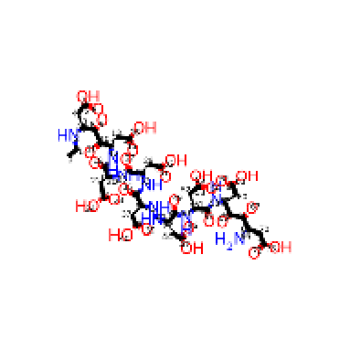 CCN[C@@H](CC(=O)O)C(=O)C(=O)[C@H](CC(=O)O)NC(=O)[C@H](CC(=O)O)NC(=O)[C@H](CC(=O)O)NC(=O)[C@H](CC(=O)O)NN[C@@H](CC(=O)O)C(=O)N[C@@H](CC(=O)O)C(=O)N[C@@H](CC(=O)O)C(=O)C(=O)[C@@H](N)CC(=O)O